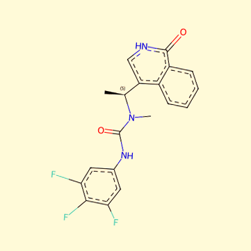 C[C@@H](c1c[nH]c(=O)c2ccccc12)N(C)C(=O)Nc1cc(F)c(F)c(F)c1